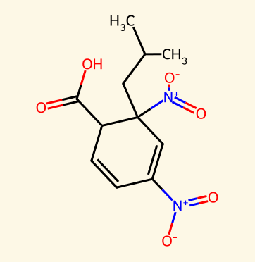 CC(C)CC1([N+](=O)[O-])C=C([N+](=O)[O-])C=CC1C(=O)O